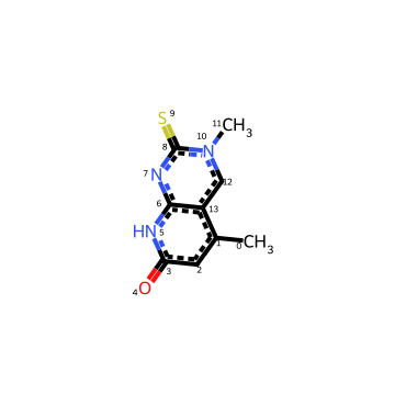 Cc1cc(=O)[nH]c2nc(=S)n(C)cc12